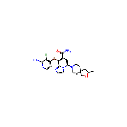 CC1CC2(CCN(c3cc(C(N)=O)c(Sc4ccnc(N)c4Cl)c4nccn34)CC2)CO1